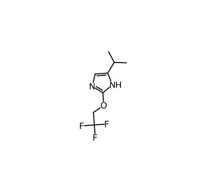 CC(C)c1cnc(OCC(F)(F)F)[nH]1